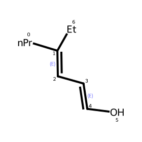 CCC/C(=C/C=C/O)CC